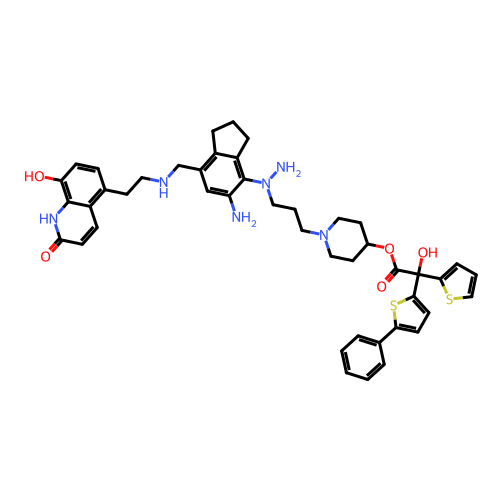 Nc1cc(CNCCc2ccc(O)c3[nH]c(=O)ccc23)c2c(c1N(N)CCCN1CCC(OC(=O)C(O)(c3cccs3)c3ccc(-c4ccccc4)s3)CC1)CCC2